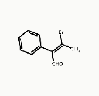 C/C(Br)=C(\C=O)c1ccccc1